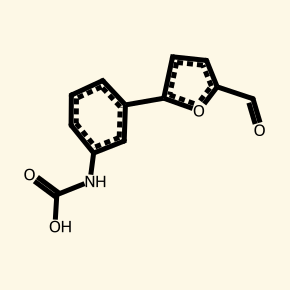 O=Cc1ccc(-c2cccc(NC(=O)O)c2)o1